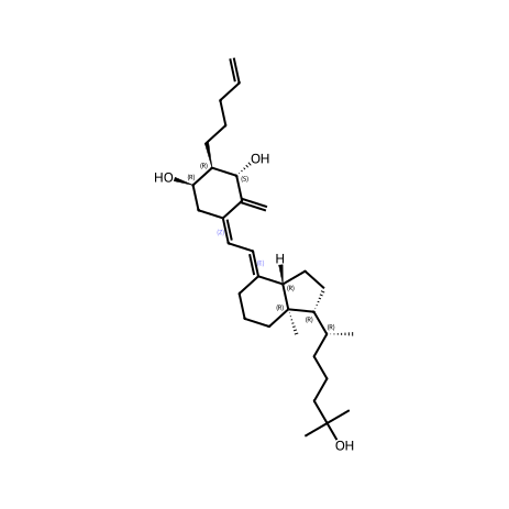 C=CCCC[C@@H]1[C@H](O)C/C(=C/C=C2\CCC[C@]3(C)[C@@H]([C@H](C)CCCC(C)(C)O)CC[C@@H]23)C(=C)[C@H]1O